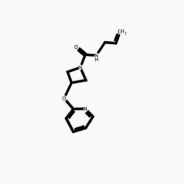 C=CCNC(=O)N1CC(Oc2ccccn2)C1